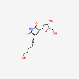 O=c1[nH]c(=O)n([C@H]2C[C@H](O)[C@@H](CO)O2)cc1C#CCCCCO